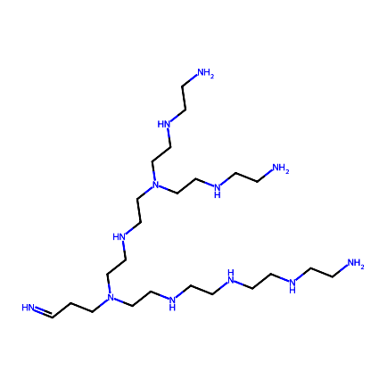 N=CCCN(CCNCCNCCNCCN)CCNCCN(CCNCCN)CCNCCN